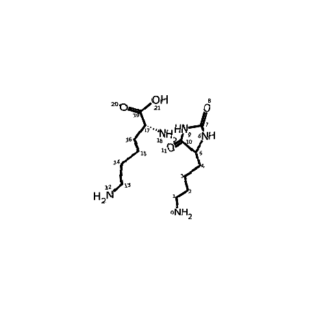 NCCCCC1NC(=O)NC1=O.NCCCC[C@@H](N)C(=O)O